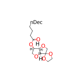 CCCCCCCCCCCCCC(=O)O[C@@H]1CO[C@H]2[C@@H]1OCC21OCCO1